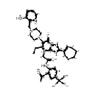 CCc1c(N2CCN(Cc3ncccc3O)CC2)c(=O)n2nc(C3=CCCCCC3)nc2n1CC(=O)Nc1ccc(C(F)(F)F)cc1C(C)=O